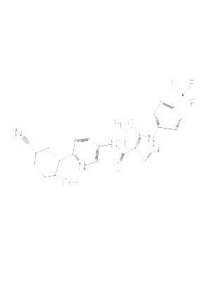 Cc1c(C(=O)Nc2ccc(C3CC(C#N)CCC3O)nc2)cnn1-c1ccc(C(F)(F)F)cc1